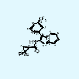 O=C(Nc1nc2ccccn2c1-c1cc(C(F)(F)F)ccn1)C1CC1(F)F